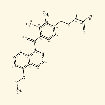 CCOc1nccc2c(C(=O)c3ccc(CCNC(=O)O)c(C)c3C)cccc12